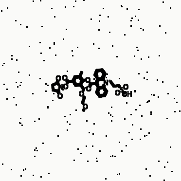 COCCOCc1cc(C(=O)ON2C(=O)CCC2=O)cc(C)c1OC(=O)c1c2ccccc2[n+](CCCS(=O)(=O)O)c2ccccc12